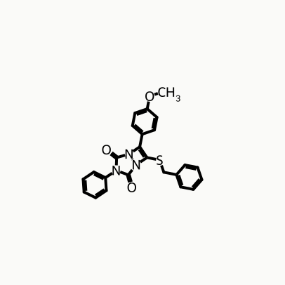 COc1ccc(-c2c(SCc3ccccc3)n3c(=O)n(-c4ccccc4)c(=O)n23)cc1